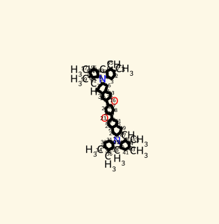 Cc1ccc(N(c2ccc3cc4c(cc3c2)oc2cc3c(cc24)oc2cc4cc(N(c5ccc(C)c(C)c5C)c5ccc(C)c(C)c5C)ccc4cc23)c2ccc(C)c(C)c2C)c(C)c1C